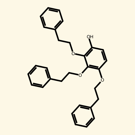 Oc1ccc(OCCc2ccccc2)c(OCCc2ccccc2)c1OCCc1ccccc1